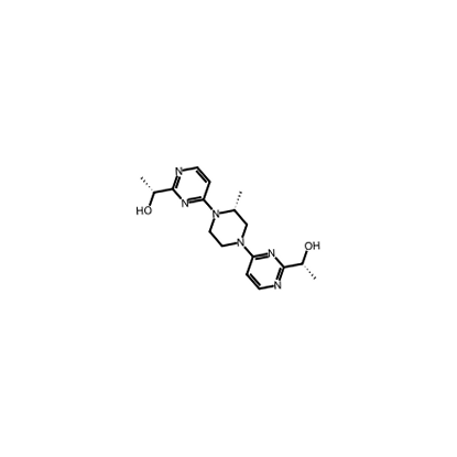 C[C@@H]1CN(c2ccnc([C@@H](C)O)n2)CCN1c1ccnc([C@@H](C)O)n1